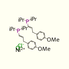 COc1ccc(CC=CP(C(C)C)C(C)C)cc1.COc1ccc(CC=CP(C(C)C)C(C)C)cc1.[Cl-].[Cl-].[Ni+2]